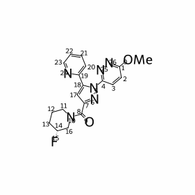 COc1ccc(-n2nc(C(=O)N3CCC[C@@H](F)C3)cc2-c2ccccn2)nn1